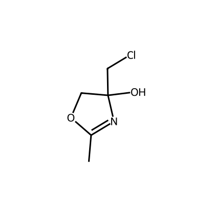 CC1=NC(O)(CCl)CO1